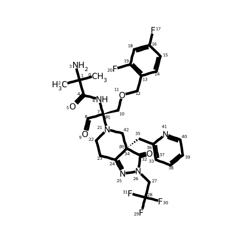 CC(C)(N)C(=O)N[C@](C=O)(COCc1ccc(F)cc1F)N1CCC2=NN(CC(F)(F)F)C(=O)[C@]2(Cc2ccccn2)C1